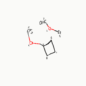 CCOC=O.FC(F)(F)OC1CCC1